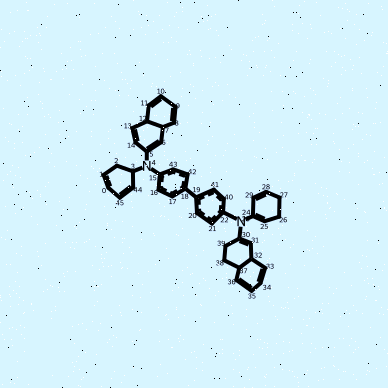 C1=CCC(N(C2=CC3C=CC=CC3C=C2)c2ccc(-c3ccc(N(C4=CCCC=C4)C4=CC5C=CC=CC5CC4)cc3)cc2)C=C1